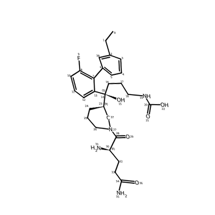 CCc1cccc(-c2c(F)cccc2[C@](O)(CCCNC(=O)O)[C@@H]2CCCN(C(=O)[C@H](N)CCC(N)=O)C2)c1